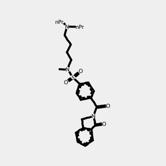 CCCN(CCC)CCCCN(C)S(=O)(=O)c1ccc(C(=O)N2Cc3ccccc3C2=O)cc1